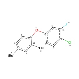 CC(C)(C)c1ccc(Oc2ccc(Cl)c(F)c2)c(C#N)c1